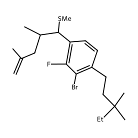 C=C(C)CC(C)C(SC)c1ccc(CCC(C)(C)CC)c(Br)c1F